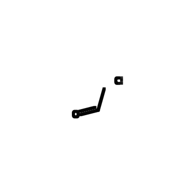 CC=O.[C]